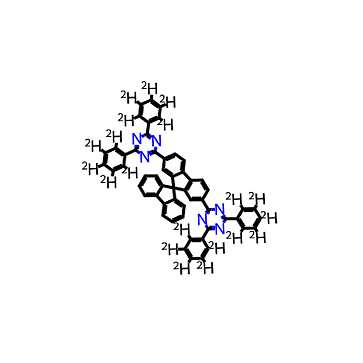 [2H]c1c([2H])c([2H])c(-c2nc(-c3ccc4c(c3)C3(c5ccccc5-c5ccccc53)c3cc(-c5nc(-c6c([2H])c([2H])c([2H])c([2H])c6[2H])nc(-c6c([2H])c([2H])c([2H])c([2H])c6[2H])n5)ccc3-4)nc(-c3c([2H])c([2H])c([2H])c([2H])c3[2H])n2)c([2H])c1[2H]